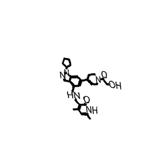 Cc1cc(C)c(CNCc2cc(C3=CCN(C(=O)CO)CC3)cc3c2cnn3C2CCCC2)c(=O)[nH]1